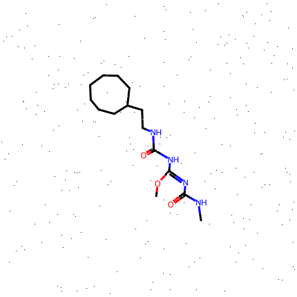 CNC(=O)N=C(NC(=O)NCCC1CCCCCCC1)OC